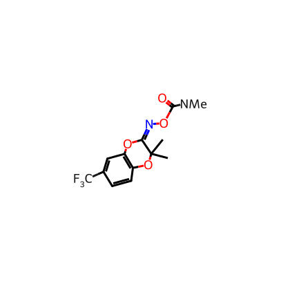 CNC(=O)ON=C1Oc2cc(C(F)(F)F)ccc2OC1(C)C